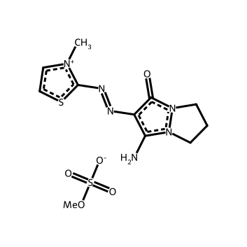 COS(=O)(=O)[O-].C[n+]1ccsc1/N=N/c1c(N)n2n(c1=O)CCC2